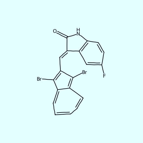 O=C1Nc2ccc(F)cc2C1=Cc1c(Br)c2cccccc-2c1Br